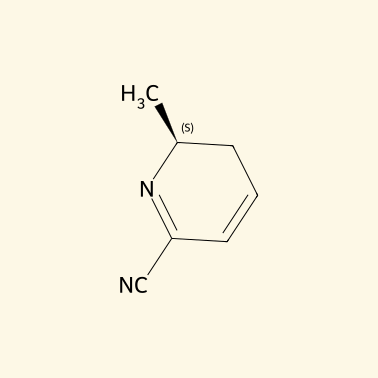 C[C@H]1CC=CC(C#N)=N1